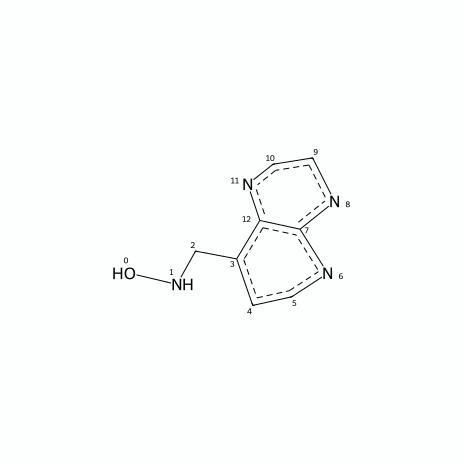 ONCc1ccnc2nccnc12